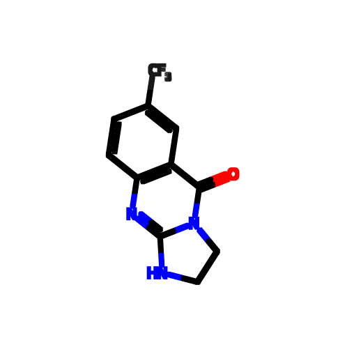 O=c1c2cc(C(F)(F)F)ccc2nc2n1CCN2